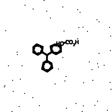 O=C(O)O.c1ccc(C(c2ccccc2)c2ccccc2)cc1